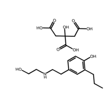 CCCc1cc(CCNCCO)ccc1O.O=C(O)CC(O)(CC(=O)O)C(=O)O